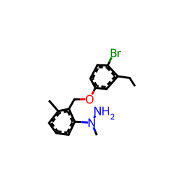 CCc1cc(OCc2c(C)cccc2N(C)N)ccc1Br